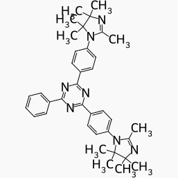 CC1=NC(C)(C)C(C)(C)N1c1ccc(-c2nc(-c3ccccc3)nc(-c3ccc(N4C(C)=NC(C)(C)C4(C)C)cc3)n2)cc1